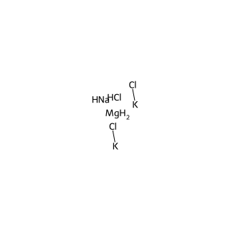 Cl.[Cl][K].[Cl][K].[MgH2].[NaH]